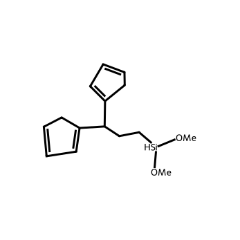 CO[SiH](CCC(C1=CC=CC1)C1=CC=CC1)OC